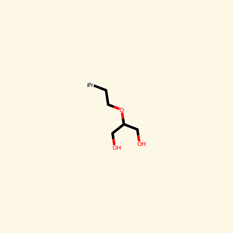 CC(C)CCOC(CO)CO